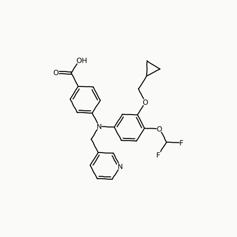 O=C(O)c1ccc(N(Cc2cccnc2)c2ccc(OC(F)F)c(OCC3CC3)c2)cc1